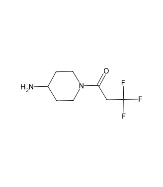 NC1CCN(C(=O)CC(F)(F)F)CC1